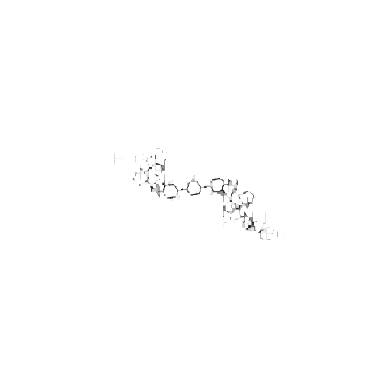 CC(C)[C@H](C)C(=O)N1CCC[C@H]1c1nc2ccc(-c3ccc(-c4ccc5nc([C@@H]6CCCN6C(=O)[C@@H](NC(=O)OC(C)(C)C)C(C)C)[nH]c5c4)cc3)cc2[nH]1